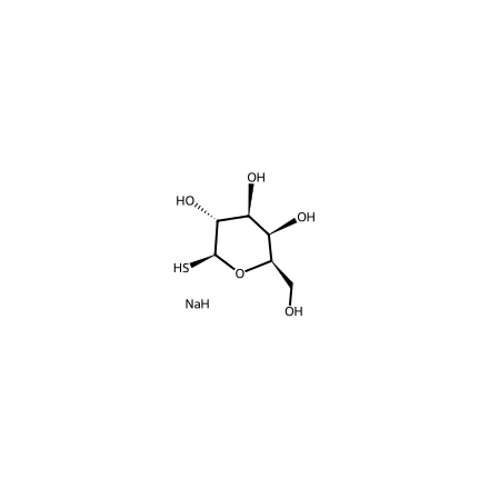 OC[C@H]1O[C@@H](S)[C@H](O)[C@@H](O)[C@H]1O.[NaH]